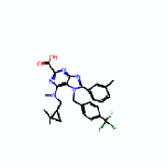 Cc1cccc(-c2nc3nc(C(=O)O)nc(N(C)CC4CC4(C)C)c3n2Cc2ccc(C(F)(F)F)cc2)c1